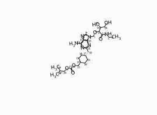 CCNC(=O)[C@@H](OCn1cnc2c(N)nc(C[C@H]3CC[C@H](COC(=O)OCC(C)C)CC3)nc21)C(O)CO